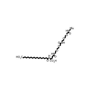 CC(C)(C)CNC(=O)COCCOCCNC(=O)COCCOCCNC(=O)CCC(NC(=O)CCCCCCCCCCCCCCCCC(=O)O)C(=O)O